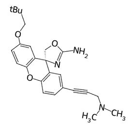 CN(C)CC#Cc1ccc2c(c1)[C@@]1(COC(N)=N1)c1cc(OCC(C)(C)C)ccc1O2